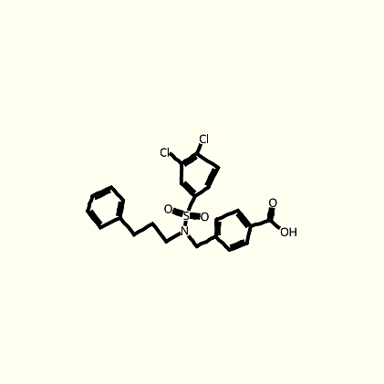 O=C(O)c1ccc(CN(CCCc2ccccc2)S(=O)(=O)c2ccc(Cl)c(Cl)c2)cc1